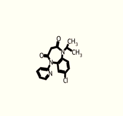 CC(C)N1C(=O)CC(=O)N(c2ccccn2)c2cc(Cl)ccc21